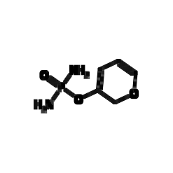 NP(N)(=O)OC1=CC=COC1